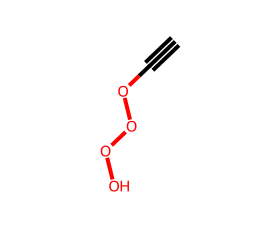 C#COOOO